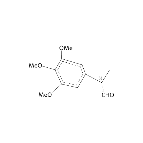 COc1cc([C@H](C)C=O)cc(OC)c1OC